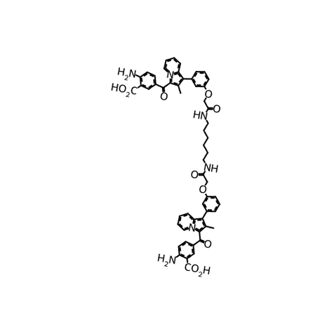 Cc1c(-c2cccc(OCC(=O)NCCCCCCNC(=O)COc3cccc(-c4c(C)c(C(=O)c5ccc(N)c(C(=O)O)c5)n5ccccc45)c3)c2)c2ccccn2c1C(=O)c1ccc(N)c(C(=O)O)c1